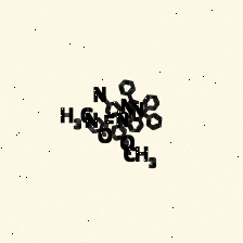 CCOc1cc(OC2CCN(C)CC2)c(F)c(N(Cc2nc(-c3ccccc3)cn2C(c2ccccc2)(c2ccccc2)c2ccccc2)c2ccc(C#N)cc2)c1